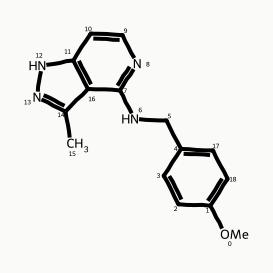 COc1ccc(CNc2nccc3[nH]nc(C)c23)cc1